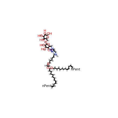 CCCCC/C=C\C/C=C\CCCCCCCCOC(CCCCCCC/C=C\C/C=C\CCCCC)O[Si](C)(C)OCCCCCCN(C)Cc1cn(CC2OC(OCC3OC(O)C(O)C(O)C3O)C(O)C(O)C2O)nn1